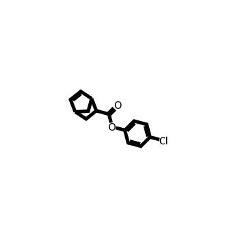 O=C(Oc1ccc(Cl)cc1)C1CC2C=CC1C2